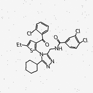 CCc1cc(C(=O)c2ccccc2Cl)c(-n2c(CNC(=O)c3ccc(Cl)c(Cl)c3)nnc2C2CCCCC2)s1